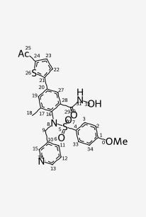 COc1ccc(S(=O)(=O)N(Cc2cccnc2)c2c(C)cc(-c3ccc(C(C)=O)s3)cc2C(=O)NO)cc1